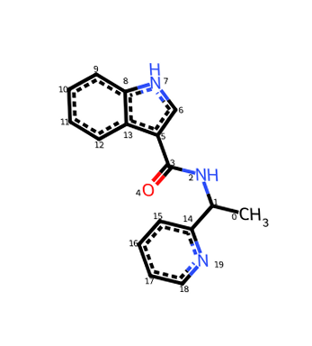 CC(NC(=O)c1c[nH]c2ccccc12)c1ccccn1